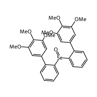 COc1cc(-c2ccccc2[Se](=O)c2ccccc2-c2cc(OC)c(OC)c(OC)c2)cc(OC)c1OC